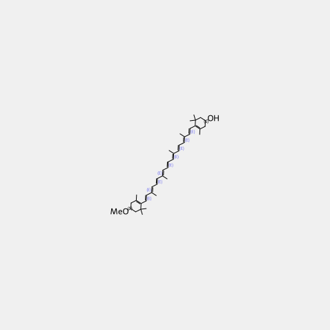 CO[C@@H]1CC(C)=C(/C=C/C(C)=C/C=C/C(C)=C/C=C/C=C(C)/C=C/C=C(C)/C=C/C2=C(C)C[C@@H](O)CC2(C)C)C(C)(C)C1